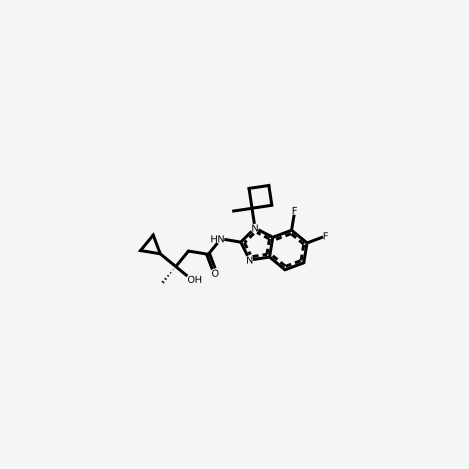 CC1(n2c(NC(=O)C[C@@](C)(O)C3CC3)nc3ccc(F)c(F)c32)CCC1